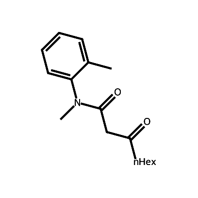 CCCCCCC(=O)CC(=O)N(C)c1ccccc1C